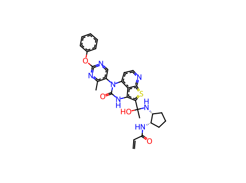 C=CC(=O)N[C@H]1CCC[C@H]1NC(C)(O)c1sc2nccc3c2c1NC(=O)N3c1cnc(Oc2ccccc2)nc1C